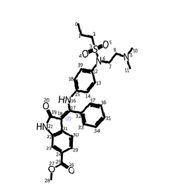 CCCS(=O)(=O)N(CCN(C)C)c1ccc(N/C(=C2\C(=O)Nc3cc(C(=O)OC)ccc32)c2ccccc2)cc1